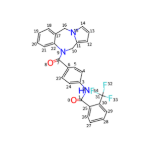 O=C(Nc1ccc(C(=O)N2Cc3cccn3Cc3ccccc32)cc1)c1ccccc1C(F)(F)F